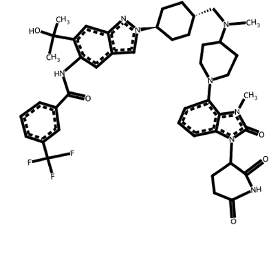 CN(C[C@H]1CC[C@H](n2cc3cc(NC(=O)c4cccc(C(F)(F)F)c4)c(C(C)(C)O)cc3n2)CC1)C1CCN(c2cccc3c2n(C)c(=O)n3C2CCC(=O)NC2=O)CC1